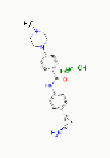 CN1CCN(c2ccc(C(=O)Nc3ccc([C@@H]4C[C@H]4N)cc3)cc2)CC1.Cl.Cl.Cl